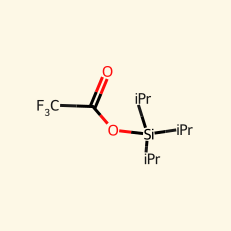 CC(C)[Si](OC(=O)C(F)(F)F)(C(C)C)C(C)C